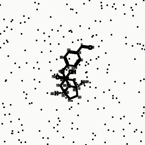 O=Cc1ccc(OC2C[C@H]3CC[C@@H](C2)N3C(=O)O)cc1